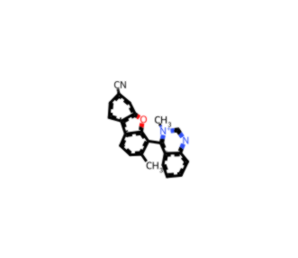 Cc1ccc2c(oc3cc(C#N)ccc32)c1-c1c2ccccc2nc[n+]1C